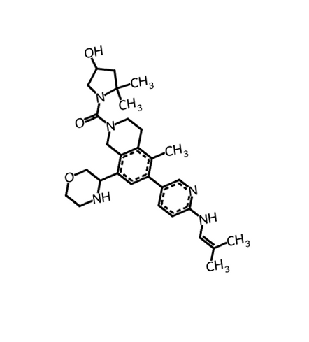 CC(C)=CNc1ccc(-c2cc(C3COCCN3)c3c(c2C)CCN(C(=O)N2CC(O)CC2(C)C)C3)cn1